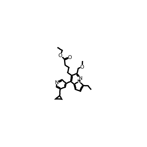 CCOC(=O)CCCc1c(COC)nn2c(CC)ccc2c1-c1cncc(C2CC2)c1